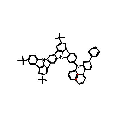 CC(C)(C)c1ccc2c(c1)c1cc(C(C)(C)C)cc3c4cc5c(cc4n2c13)c1cc(C(C)(C)C)cc2c3ccc(N(c4ccccc4)c4cc(-c6ccccc6)ccc4-c4ccccc4)cc3n5c21